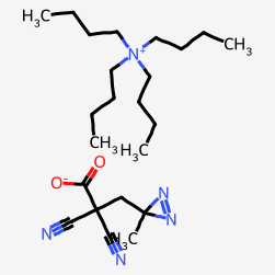 CC1(CC(C#N)(C#N)C(=O)[O-])N=N1.CCCC[N+](CCCC)(CCCC)CCCC